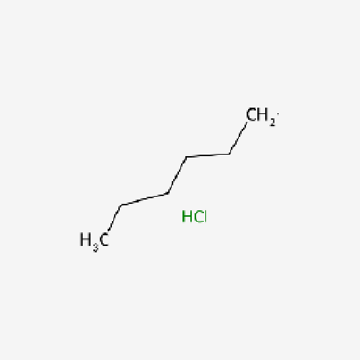 Cl.[CH2]CCCCC